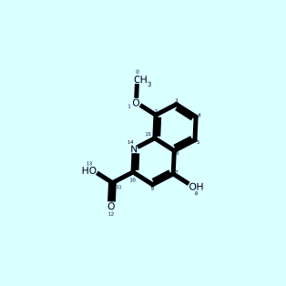 COc1cccc2c(O)cc(C(=O)O)nc12